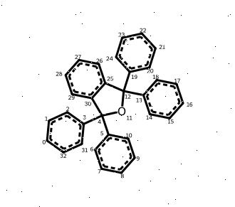 c1ccc(C2(c3ccccc3)OC(c3ccccc3)(c3ccccc3)c3ccccc32)cc1